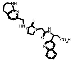 O=C(O)CC(NC(=O)CN1CC[C@H](NCc2ccc3c(n2)NCCC3)C1=O)c1cnc2ccccc2c1